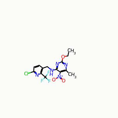 CCOc1nc(C)c([N+](=O)[O-])c(NCc2ccc(Cl)nc2C(F)(F)F)n1